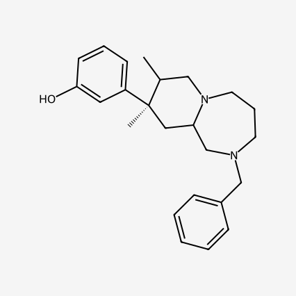 CC1CN2CCCN(Cc3ccccc3)CC2C[C@@]1(C)c1cccc(O)c1